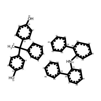 CC(c1ccccc1)(c1ccc(O)cc1)c1ccc(O)cc1.c1ccc(-c2ccccc2Nc2ccccc2-c2ccccc2)cc1